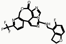 O=C1OCc2nc(C(F)(F)F)ccc2-c2cnc(NCc3c(F)ccc4c3CCO4)n3cnc1c23